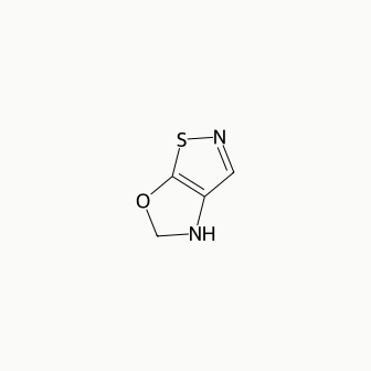 c1nsc2c1NCO2